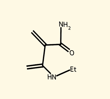 C=C(NCC)C(=C)C(N)=O